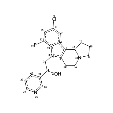 OC(Cn1c2c(c3cc(Cl)cc(F)c31)C1CCCN1CC2)c1cccnc1